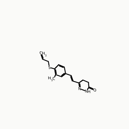 C=CCSc1ccc(C=CC2=NNC(=O)CC2)cc1C